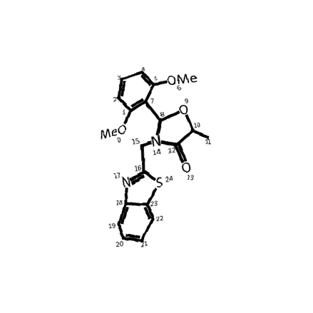 COc1cccc(OC)c1C1OC(C)C(=O)N1Cc1nc2ccccc2s1